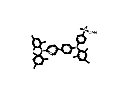 CO[Si](C)(C)c1ccc(N(c2ccc(-c3ccc(N(c4c(C)cc(C)cc4C)c4c(C)cc(C)cc4C)cc3)cc2)c2c(C)cc(C)cc2C)cc1